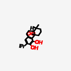 CC(C)c1cc2c(c(O)c1O)C13CCCC(C)(C)[C@@H]1CC2OC3=O